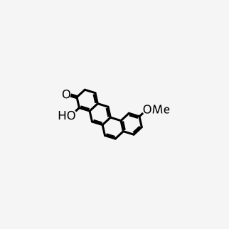 COc1ccc2ccc3cc4c(cc3c2c1)=CCC(=O)C=4O